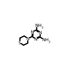 Nc1nc(N)nc(N2CCSCC2)n1